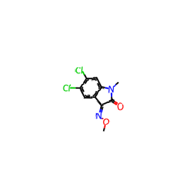 CON=C1C(=O)N(C)c2cc(Cl)c(Cl)cc21